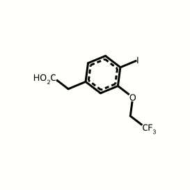 O=C(O)Cc1ccc(I)c(OCC(F)(F)F)c1